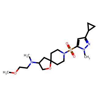 COCCN(C)C1COC2(CCN(S(=O)(=O)c3cc(C4CC4)nn3C)CC2)C1